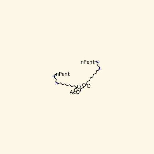 CCCCC/C=C\C/C=C\CCCCCCCC(=O)OCC(COC(C)=O)OC(=O)CCCCCCC/C=C\C/C=C\CCCCC